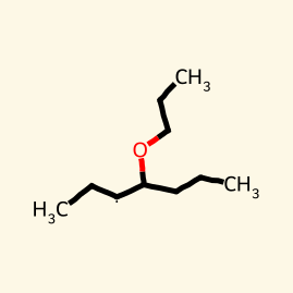 CC[CH]C(CCC)OCCC